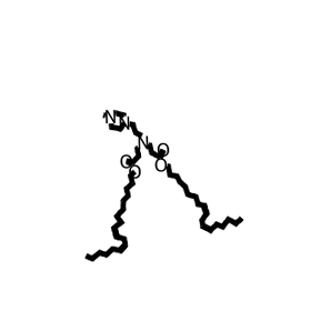 CCCCC/C=C\C/C=C\CCCCCCCCOC(=O)CCN(CCCN1CCN(C)CC1)CCC(=O)OCCCCCCCC/C=C\C/C=C\CCCCC